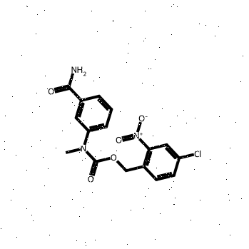 CN(C(=O)OCc1ccc(Cl)cc1[N+](=O)[O-])c1cccc(C(N)=O)c1